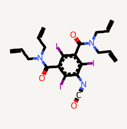 C=CCN(CC=C)C(=O)c1c(I)c(N=C=O)c(I)c(C(=O)N(CC=C)CC=C)c1I